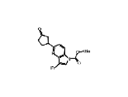 CC(C)c1cn(C(=O)OC(C)(C)C)c2ccc(C3CCC(=O)C3)nc12